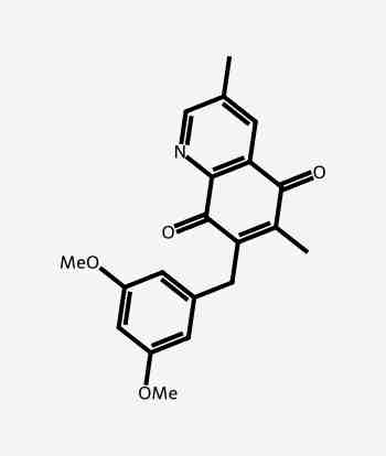 COc1cc(CC2=C(C)C(=O)c3cc(C)cnc3C2=O)cc(OC)c1